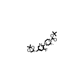 C[C@@H]1CN(c2ncc(C[C@@H]3COC(C)(C)O3)cc2F)CCN1C(=O)OC(C)(C)C